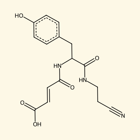 N#CCCNC(=O)C(Cc1ccc(O)cc1)NC(=O)C=CC(=O)O